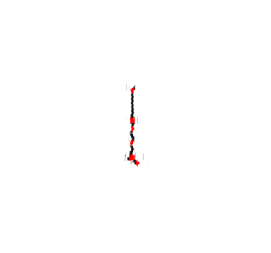 CC(=O)CC[C@H](NC(=O)OCCCOCCOCCOCCCCCNC(=O)CCCCCCCCCCCCCCC(=O)O)C(=O)O